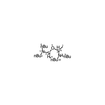 CCCCN(CCCC)[SiH](C)O[SiH](C)N(CCCC)CCCC